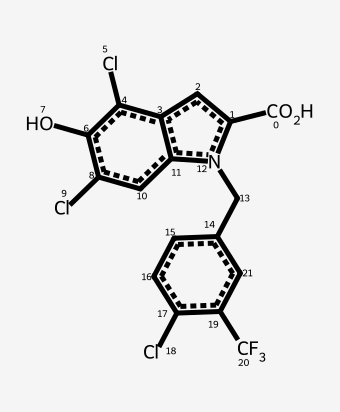 O=C(O)c1cc2c(Cl)c(O)c(Cl)cc2n1Cc1ccc(Cl)c(C(F)(F)F)c1